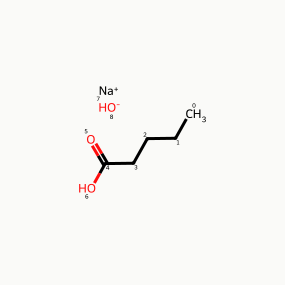 CCCCC(=O)O.[Na+].[OH-]